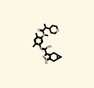 CCC/C(=N\c1cc(N(C)C(=O)C(C)C2CCOCC2)c(C)cc1C)c1n[nH]c2c1CC1CC1C2